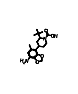 Cc1cc(N)c2c(c1C1CCN(C(=O)O)C(C(C)(C)C)C1)OCO2